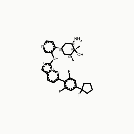 C[C@H]1C[C@@H](c2ccncc2Nc2ncc3ccc(-c4c(F)cc(C5(F)CCCC5)cc4F)nn23)C[C@@H](N)[C@]1(C)O